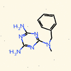 CN(Cc1ccccc1)c1nc(N)nc(N)n1